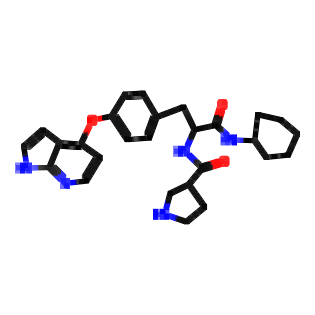 O=C(NC(Cc1ccc(Oc2ccnc3[nH]ccc23)cc1)C(=O)NC1CCCCC1)C1CCNC1